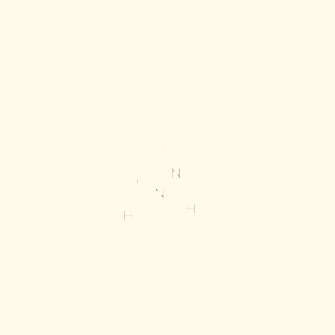 C[N+]([O-])(O)N1CCC[C@H]1CO